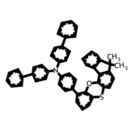 CC1(C)c2ccccc2-c2c1ccc1c2Oc2c(cccc2-c2ccc(N(c3ccc(-c4ccccc4)cc3)c3ccc(-c4ccccc4)cc3)cc2)S1